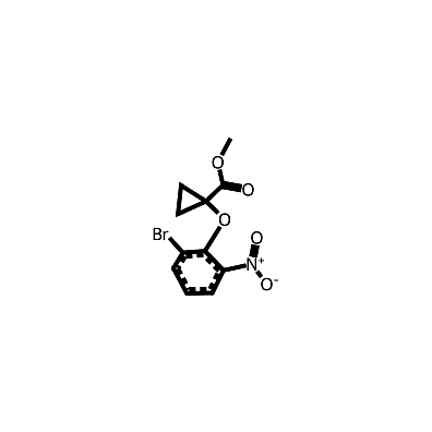 COC(=O)C1(Oc2c(Br)cccc2[N+](=O)[O-])CC1